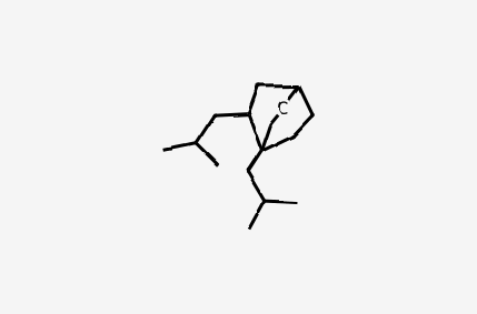 CC(C)CC1CC2CCC1(CC(C)C)CC2